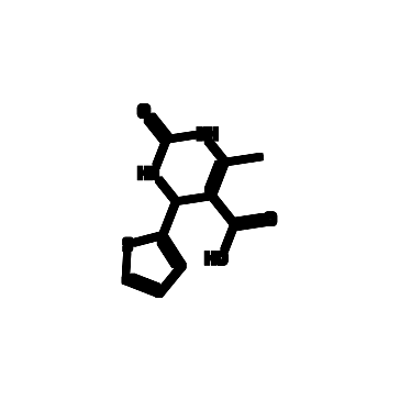 CC1=C(C(=O)O)C(c2cccs2)NC(=O)N1